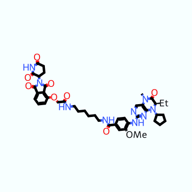 CC[C@@H]1C(=O)N(C)c2cnc(Nc3ccc(C(=O)NCCCCCCNC(=O)COc4cccc5c4C(=O)N(C4CCC(=O)NC4=O)C5=O)cc3OC)nc2N1C1CCCC1